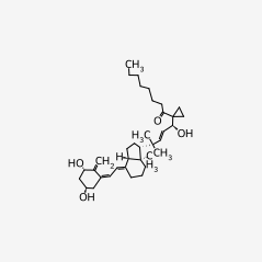 C=C1/C(=C\C=C2/CCC[C@]3(C)[C@@H](C(C)(C)/C=C/[C@H](O)C4(C(=O)CCCCCCC)CC4)CC[C@@H]23)C[C@@H](O)C[C@@H]1O